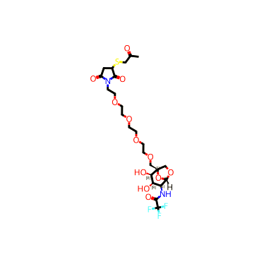 CC(=O)CSC1CC(=O)N(CCOCCOCCOCCOC[C@@]23CO[C@@H](O2)[C@@H](NC(=O)C(F)(F)F)[C@@H](O)[C@H]3O)C1=O